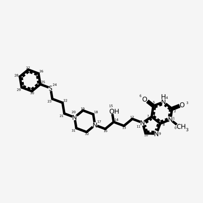 Cn1c(=O)[nH]c(=O)c2c1ncn2CCC(O)CN1CCN(CCCSc2ccccc2)CC1